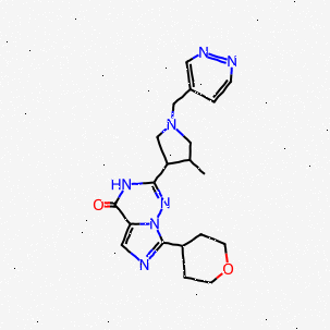 CC1CN(Cc2ccnnc2)CC1c1nn2c(C3CCOCC3)ncc2c(=O)[nH]1